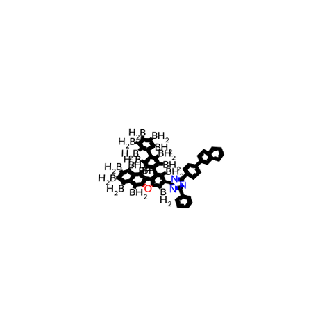 Bc1c(B)c(B)c(-c2c(B)c(B)c(-c3c(B)c(-c4nc(-c5ccccc5)nc(-c5ccc(-c6ccc7ccccc7c6)cc5)n4)c(B)c4oc5c(B)c6c(B)c(B)c(B)c(B)c6c(B)c5c34)c(B)c2B)c(B)c1B